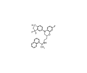 Cc1ccc(N2CC(CCN[C@H](C)c3cccc4ccccc34)Oc3cc(F)ccc32)cc1C(F)(F)F